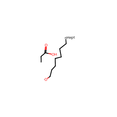 CCC(=O)O.CCCCCCCCCCCCCC[O]